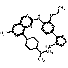 CCOc1cc(-c2nncn2C)ccc1Nc1ncc2cc(C)nc(N3CCC(N(C)C)CC3)c2n1